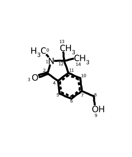 CN1C(=O)c2ccc(CO)cc2C1(C)C